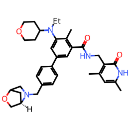 CCN(c1cc(-c2ccc(CN3CC4C[C@@H]3CO4)cc2)cc(C(=O)NCc2c(C)cc(C)[nH]c2=O)c1C)C1CCOCC1